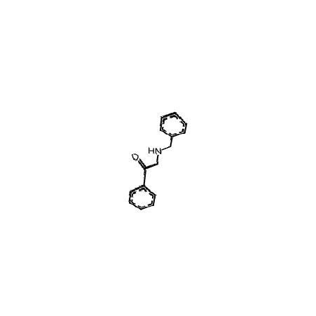 O=C(CNCc1ccccc1)c1ccccc1